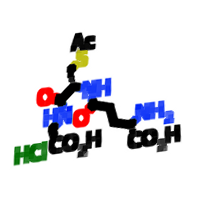 CC(=O)SC[C@H](NC(=O)CC[C@H](N)C(=O)O)C(=O)NCC(=O)O.Cl